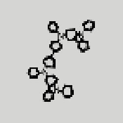 C1=CCC(N(c2ccc(-c3ccc(N(c4ccccc4)C4C=Cc5c(c6ccccc6n5-c5ccccc5)C4)cc3)cc2)c2ccc3c(c2)c2ccccc2n3C2C=CC=CC2)C=C1